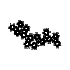 c1ccc(-n2c3ccccc3c3ccc4c5cc6c(c7cccc8c9c(-c%10cccc(-n%11c%12ccccc%12c%12c%11ccc%11c%13cc%14c(c%15cccc%16c%17ccccc%17n%14c%16%15)c%14c%15ccccc%15n(c%13%14)c%11%12)c%10)cccc9n6c87)c6c7ccccc7n(c56)c4c32)cc1